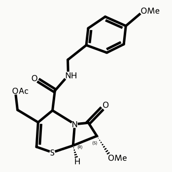 COc1ccc(CNC(=O)C2C(COC(C)=O)=CS[C@@H]3[C@@H](OC)C(=O)N23)cc1